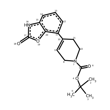 CC(C)(C)OC(=O)N1CC=C(c2cccc3[nH]c(=O)oc23)CC1